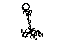 CC(C)N(C(C)C)N(OCCC#N)OCCOCCNC(=O)C1(F)C#CCCCCC1